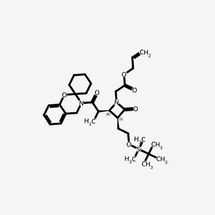 C=CCOC(=O)CN1C(=O)[C@@H](CCO[Si](C)(C)C(C)(C)C)[C@H]1C(C)C(=O)N1Cc2ccccc2OC12CCCCC2